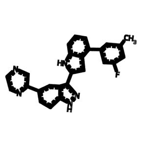 Cc1cc(F)cc(-c2cccc3[nH]c(-c4n[nH]c5ccc(-c6cnccn6)cc45)cc23)c1